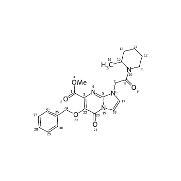 COC(=O)c1nc2n(CC(=O)N3CCCCC3C)ccn2c(=O)c1OCc1ccccc1